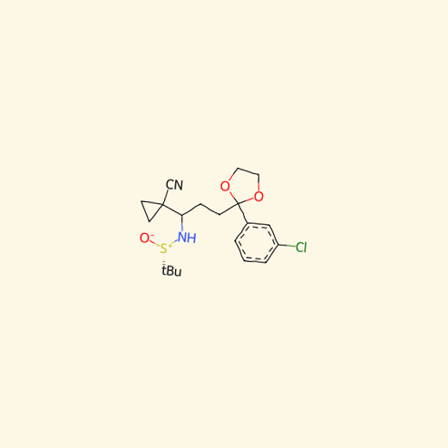 CC(C)(C)[S@+]([O-])NC(CCC1(c2cccc(Cl)c2)OCCO1)C1(C#N)CC1